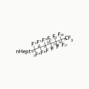 [CH2]CCCCCCC(F)(F)C(F)(F)C(F)(F)C(F)(F)C(F)(F)C(F)(F)C(F)(F)F